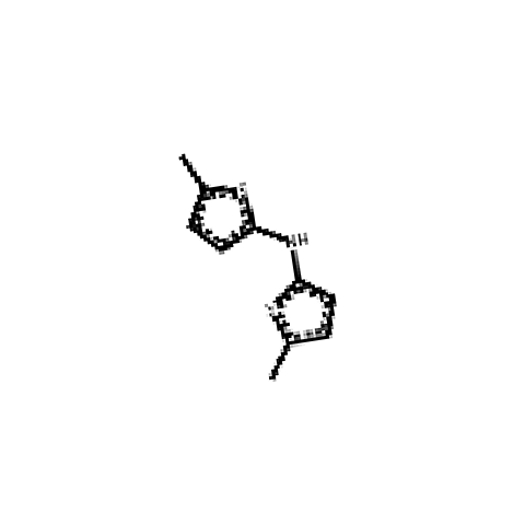 Cc1ccc(Nc2ccc(C)s2)s1